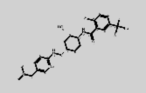 CN(C)Cc1ccc(NC[C@H]2CC[C@H](NC(=O)c3cc(C(F)(F)F)ccc3Cl)CC2)nc1.Cl